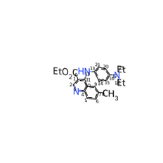 CCOC(=O)c1cnc2ccc(C)cc2c1Nc1ccc(N(CC)CC)cc1